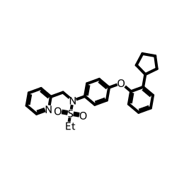 CCS(=O)(=O)N(Cc1ccccn1)c1ccc(Oc2ccccc2C2CCCC2)cc1